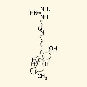 C[C@@]12CCC[C@H]1[C@@H]1CC[C@]3(C=CC=CC=NOCCNC(=N)N)C[C@@H](O)CC[C@]3(C)[C@H]1CC2